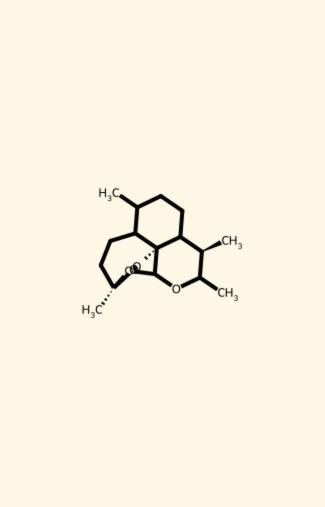 CC1CCC2[C@@H](C)C(C)OC3O[C@]4(C)CCC1[C@]32OO4